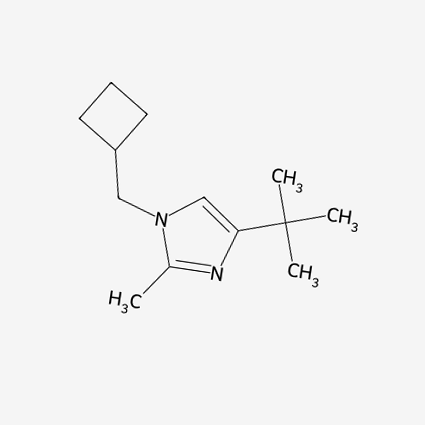 Cc1nc(C(C)(C)C)cn1CC1CCC1